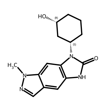 Cn1ncc2cc3[nH]c(=O)n([C@H]4CCC[C@@H](O)C4)c3cc21